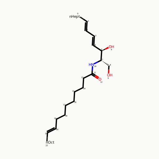 CCCCCCC/C=C/C=C/[C@@H](O)[C@H](CO)NC(=O)CCCCCCC/C=C/CCCCCCCC